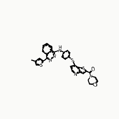 Cc1csc(-c2nnc(Nc3ccc(Sc4ccnc5cc(C(=O)N6CCOCC6)sc45)cc3)c3ccccc23)c1